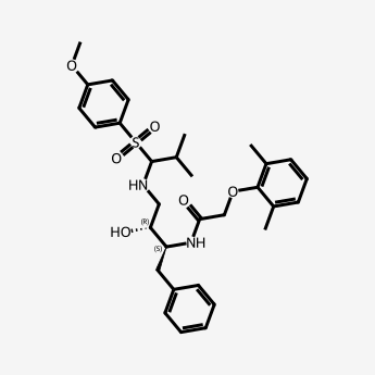 COc1ccc(S(=O)(=O)C(NC[C@@H](O)[C@H](Cc2ccccc2)NC(=O)COc2c(C)cccc2C)C(C)C)cc1